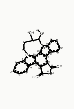 COC1C(O)CCn2c3ccccc3c3c4c(c5c6ccccc6n1c5c32)C(=O)NC4=O